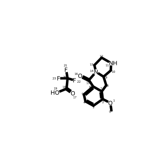 COc1cccc2c1CC1CNCCN1C2=O.O=C(O)C(F)(F)F